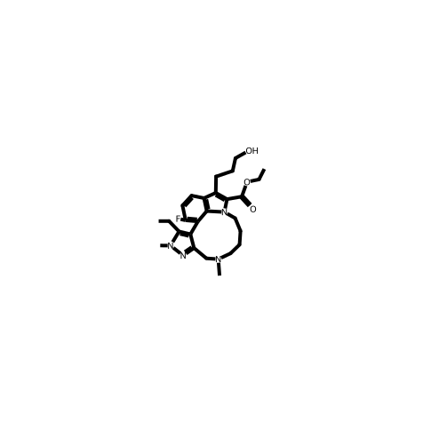 CCOC(=O)c1c(CCCO)c2ccc(F)c3c2n1CCCCN(C)Cc1nn(C)c(CC)c1-3